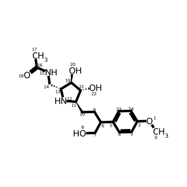 COc1ccc(C(CO)CC[C@H]2N[C@H](CNC(C)=O)[C@@H](O)[C@@H]2O)cc1